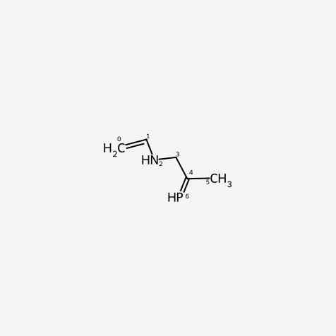 C=CNCC(C)=P